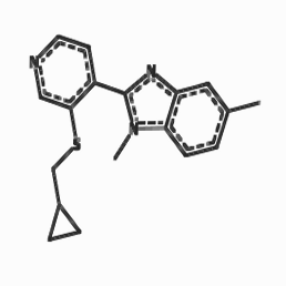 Cc1ccc2c(c1)nc(-c1ccncc1SCC1CC1)n2C